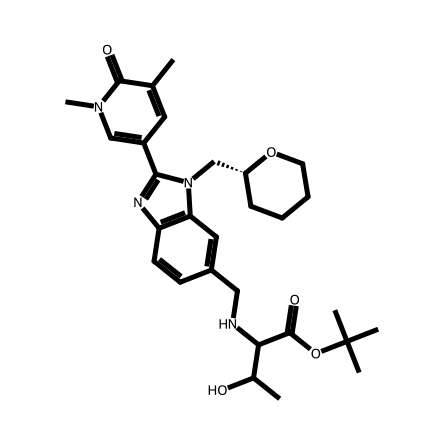 Cc1cc(-c2nc3ccc(CNC(C(=O)OC(C)(C)C)C(C)O)cc3n2C[C@H]2CCCCO2)cn(C)c1=O